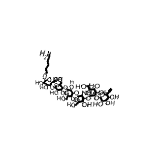 C#CC1O[C@@H](OC2[C@H](O[C@@H]3C(NC(C)=O)[C@H](O[C@@H]4C(O)[C@@H](O[C@H]5C(CO)O[C@@H](O[C@@H]6C(CO)O[C@@H](OCCCCCN)C(O)[C@H]6O)C(O)[C@H]5O)OC(CO)[C@@H]4O)OC(CO)[C@@H]3O)OC(CO)[C@H](O)[C@@H]2O)C(O)[C@@H](O)[C@@H]1O